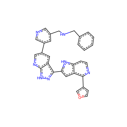 c1ccc(CNCc2cncc(-c3cnc4[nH]nc(-c5cc6c(-c7ccoc7)nccc6[nH]5)c4c3)c2)cc1